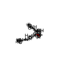 C[C@@H]1C[C@]23C[C@@]4(CCC2=O)[C@@H]3[C@]1(C)[C@H](OC(=O)CSc1ccc(CNCCCNC(=O)OC(C)(C)C)cc1)C[C@](C)(CNCCCNC(=O)OC(C)(C)C)[C@@H](O)[C@@H]4C